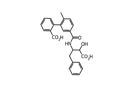 Cc1ccc(C(=O)NC(Cc2ccccc2)C(O)C(=O)O)cc1-c1ccccc1C(=O)O